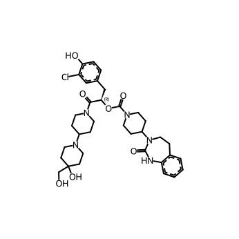 O=C(O[C@H](Cc1ccc(O)c(Cl)c1)C(=O)N1CCC(N2CCC(O)(CO)CC2)CC1)N1CCC(N2CCc3ccccc3NC2=O)CC1